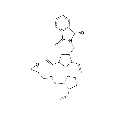 C=CC1CC(/C=C\C2CC(C=C)C(COCC3CO3)C2)C(CN2C(=O)c3ccccc3C2=O)C1